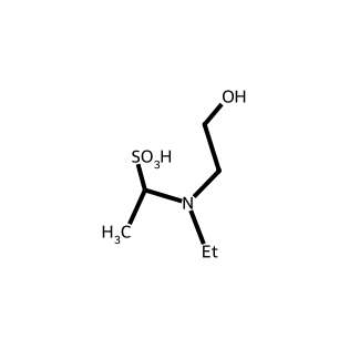 CCN(CCO)C(C)S(=O)(=O)O